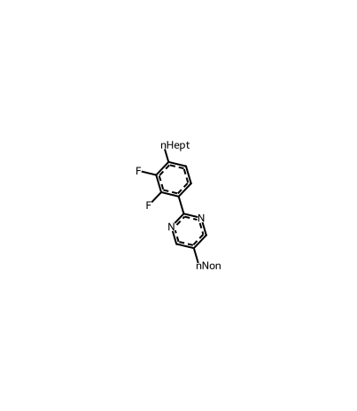 CCCCCCCCCc1cnc(-c2ccc(CCCCCCC)c(F)c2F)nc1